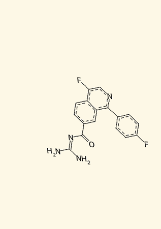 NC(N)=NC(=O)c1ccc2c(F)cnc(-c3ccc(F)cc3)c2c1